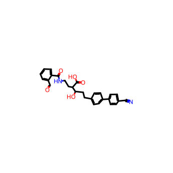 N#Cc1ccc(-c2ccc(CCC(O)C(CCNC(=O)c3ccccc3C=O)C(=O)O)cc2)cc1